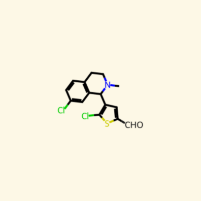 CN1CCc2ccc(Cl)cc2C1c1cc(C=O)sc1Cl